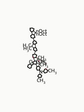 CCCCCCCCC1(CCCCCCCC)c2ccccc2-c2ccc(-c3ccc4c(c3)C(C)(C)c3cc(-c5ccc6c(c5)C(C)(C)c5c7c(c8c(oc9ccccc98)c5-6)-c5ccc(N(c6ccc(C)cc6)c6ccc(C)cc6)cc5C7(C)C)ccc3-4)cc21